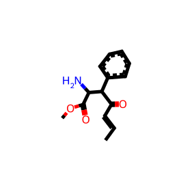 C/C=C/C(=O)C(c1ccccc1)C(N)C(=O)OC